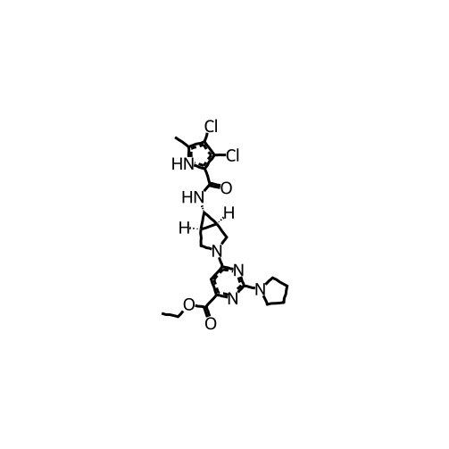 CCOC(=O)c1cc(N2C[C@@H]3[C@H](C2)[C@H]3NC(=O)c2[nH]c(C)c(Cl)c2Cl)nc(N2CCCC2)n1